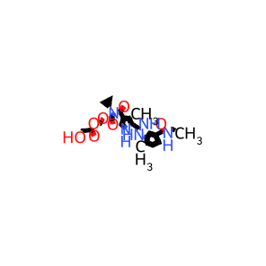 CCNC(=O)c1ccc(C)c(NC(=N)c2[nH]cc(C(=O)N(C(=O)OCOC(=O)CO)C3CC3)c2C)c1